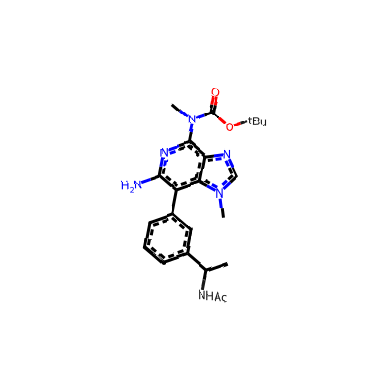 CC(=O)NC(C)c1cccc(-c2c(N)nc(N(C)C(=O)OC(C)(C)C)c3ncn(C)c23)c1